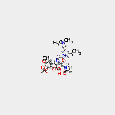 CCCCN(CCCCN(C)C)C(=O)CN1CC(c2cc(OC)c3c(c2)OCO3)C(C(=O)O)C1CCN1CCCC1=O